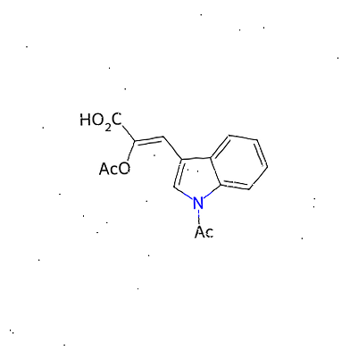 CC(=O)O/C(=C\c1cn(C(C)=O)c2ccccc12)C(=O)O